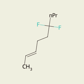 C/C=C/CCC(F)(F)CCC